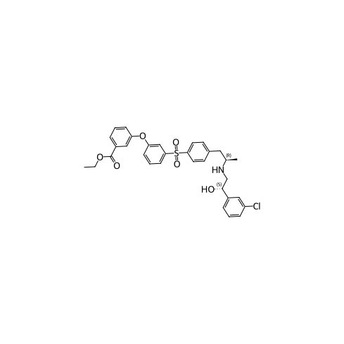 CCOC(=O)c1cccc(Oc2cccc(S(=O)(=O)c3ccc(C[C@@H](C)NC[C@@H](O)c4cccc(Cl)c4)cc3)c2)c1